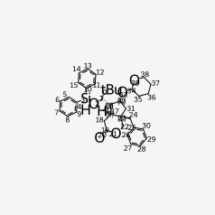 CC(C)(C)C(O[SiH](c1ccccc1)c1ccccc1)[C@H]1[C@H]2CC(=O)OC[C@@]2(Cc2ccccc2)C[C@H]1OC1CCCCO1